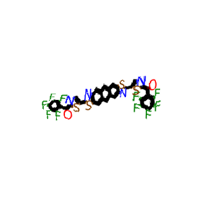 O=C(c1ncc(-c2nc3cc4cc5cc6sc(-c7cnc(C(=O)c8c(F)c(F)c(F)c(F)c8F)s7)nc6cc5cc4cc3s2)s1)c1c(F)c(F)c(F)c(F)c1F